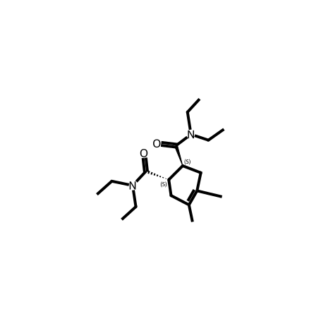 CCN(CC)C(=O)[C@H]1CC(C)=C(C)C[C@@H]1C(=O)N(CC)CC